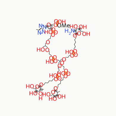 COP(=O)(O)OC[C@H]1O[C@@H](n2cnc3c(C)ncnc32)C[C@@H]1OP(=O)(O)OCCCOCC(CO)COCCCOP(=O)(O)OCC(COCCCOP(=O)(O)OCCCCCCO[C@@H]1OC(CO)[C@H](O)C(O)[C@@H]1C)(COCCCOP(=O)(O)OCCCCCCO[C@@H]1OC(CO)[C@H](O)C(O)[C@@H]1N)OCCCOP(=O)(O)OCCCCCCO[C@@H]1OC(CO)[C@H](O)[C@H](O)C1C